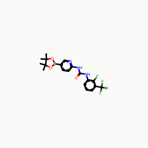 CC1(C)OB(c2ccc(NC(=O)Nc3cccc(C(F)(F)F)c3F)nc2)OC1(C)C